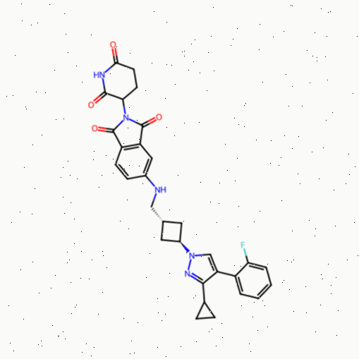 O=C1CCC(N2C(=O)c3ccc(NC[C@H]4C[C@H](n5cc(-c6ccccc6F)c(C6CC6)n5)C4)cc3C2=O)C(=O)N1